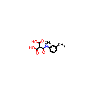 Cc1cccc(N(C)C(=O)C(C(=O)O)C(=O)O)c1